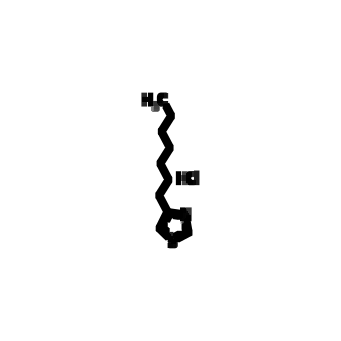 CCCCCCCc1cscn1.Cl